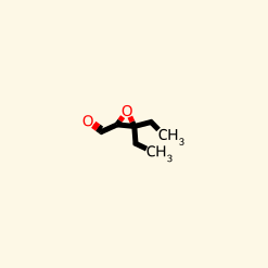 CCC1(CC)OC1C=O